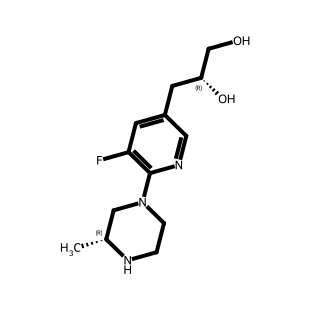 C[C@@H]1CN(c2ncc(C[C@@H](O)CO)cc2F)CCN1